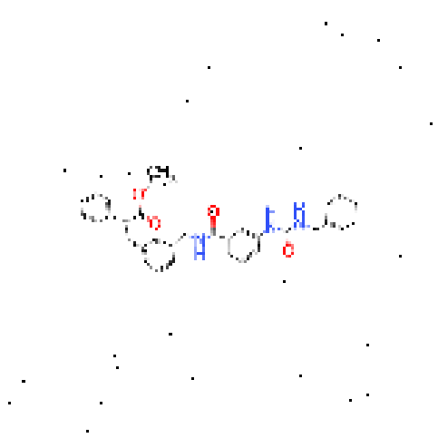 CCOC(=O)C(Cc1cccc(CNC(=O)c2cccc(NC(=O)NCc3ccccc3)c2)c1)c1ccccc1